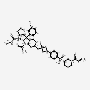 C=CC(=O)N1CCC[C@H](S(=O)(=O)c2ccc(N3CC(F)(CN4CCC([C@@](CNC(C)=O)(c5cccc(F)c5)[C@H]5CCC[C@@H]5NC(=O)OC)CC4)C3)cc2)C1